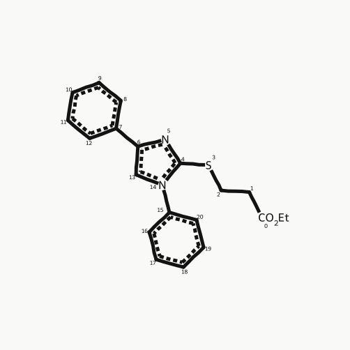 CCOC(=O)CCSc1nc(-c2ccccc2)cn1-c1ccccc1